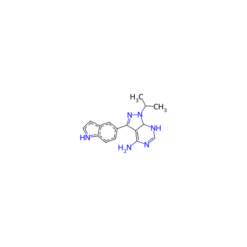 CC(C)N1N=C(c2ccc3[nH]ccc3c2)C2=C(N)N=CNC21